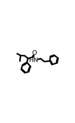 CC(C)CC(C(=O)NCCc1ccccc1)c1ccccc1